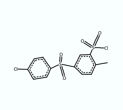 Cc1ccc(S(=O)(=O)c2ccc(Cl)cc2)cc1S(=O)(=O)Cl